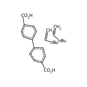 C=CCCCC.C=CCCCC.O=C(O)c1ccc(-c2ccc(C(=O)O)cc2)cc1